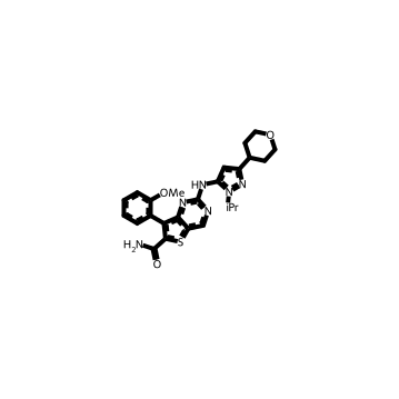 COc1ccccc1-c1c(C(N)=O)sc2cnc(Nc3cc(C4CCOCC4)nn3C(C)C)nc12